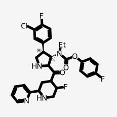 CCN(C(=O)Oc1ccc(F)cc1)[C@@H]1C(C(=O)C2CC(c3ccccn3)NCC2F)NC[C@H]1c1ccc(F)c(Cl)c1